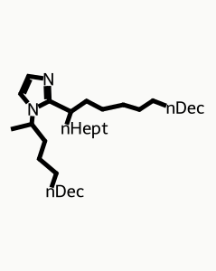 CCCCCCCCCCCCCCCC(CCCCCCC)c1nccn1C(C)CCCCCCCCCCCCC